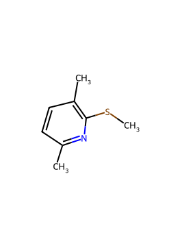 CSc1nc(C)ccc1C